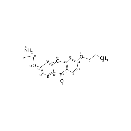 CCCOc1ccc2c(=O)c3ccc(OCCN)cc3oc2c1